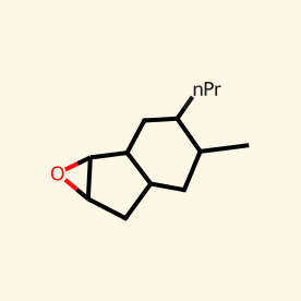 CCCC1CC2C(CC1C)CC1OC12